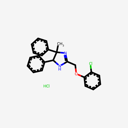 CC1(c2ccccc2)N=C(COc2ccccc2Cl)NC1c1ccccc1.Cl